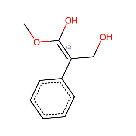 CO/C(O)=C(/CO)c1ccccc1